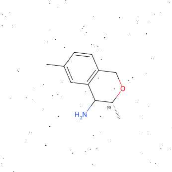 Cc1ccc2c(c1)C(N)[C@@H](C)OC2